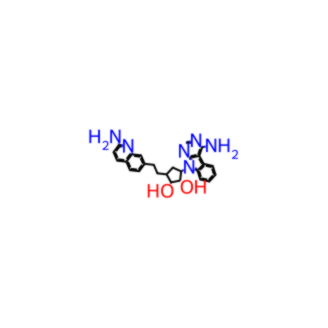 Nc1ccc2ccc(CCC3CC(n4c5ccccc5c5c(N)ncnc54)C(O)[C@H]3O)cc2n1